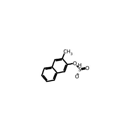 Cc1cc2ccccc2cc1O[SH](=O)=O